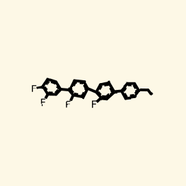 CCc1ccc(-c2ccc(-c3ccc(-c4ccc(F)c(F)c4)c(F)c3)c(F)c2)cc1